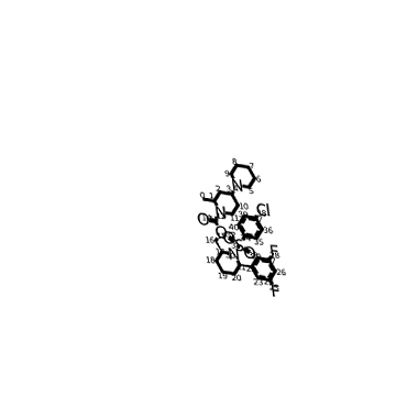 CC1CC(N2CCCCC2)CCN1C(=O)OC[C@@H]1CCC[C@H](c2cc(F)cc(F)c2)N1S(=O)(=O)c1ccc(Cl)cc1